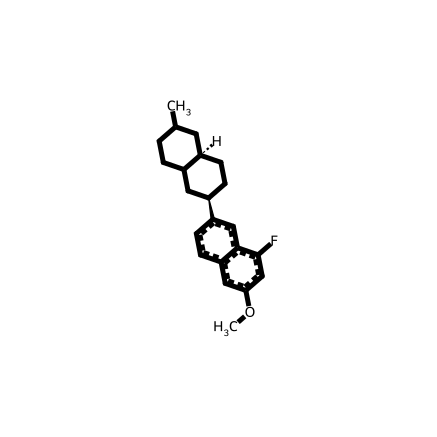 COc1cc(F)c2cc([C@@H]3CC[C@@H]4CC(C)CCC4C3)ccc2c1